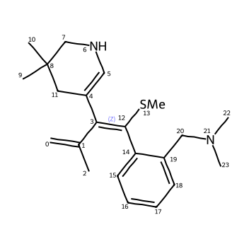 C=C(C)/C(C1=CNCC(C)(C)C1)=C(/SC)c1ccccc1CN(C)C